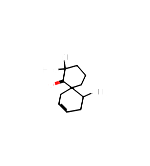 CC1CC=CCC12CCCC(C)(C)C2=O